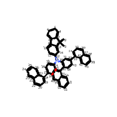 CC1(C)c2ccccc2-c2ccc(N(c3ccc(-c4cccc5ccccc45)cc3)c3cc(-c4cccc5ccccc45)ccc3-c3cccc4ccccc34)cc21